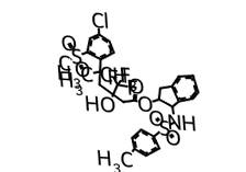 Cc1ccc(S(=O)(=O)NC2c3ccccc3CC2OC(=O)CC(O)(CC(C)(C)c2ccc(Cl)cc2S(C)(=O)=O)C(F)(F)F)cc1